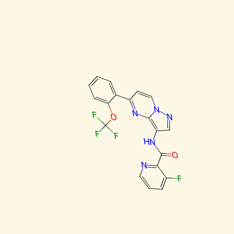 O=C(Nc1cnn2ccc(-c3ccccc3OC(F)(F)F)nc12)c1ncccc1F